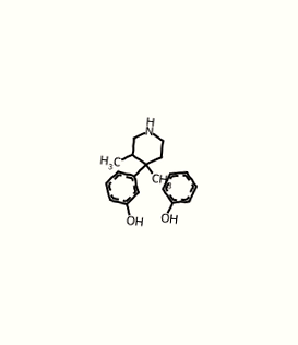 CC1CNCCC1(C)c1cccc(O)c1.Oc1ccccc1